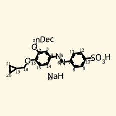 CCCCCCCCCCOc1cc(/N=N/c2ccc(S(=O)(=O)O)cc2)ccc1OCC1CC1.[NaH]